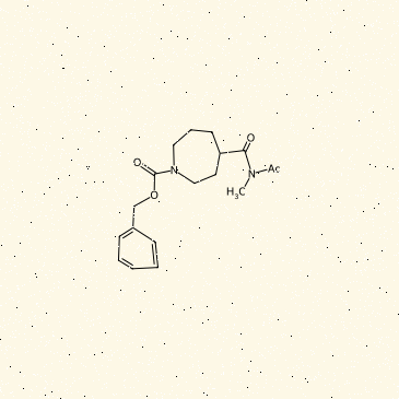 CC(=O)N(C)C(=O)C1CCCN(C(=O)OCc2ccccc2)CC1